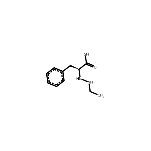 CCNN[C@@H](Cc1ccccc1)C(=O)S